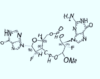 COC1OPC[C@H]2[C@H](F)[C@H](n3cnc4c(=O)[nH]cnc43)O[C@@H]2CO[PH](=O)O[C@@H](n2cnc3c(=O)[nH]c(N)nc32)[C@@H]1F